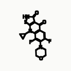 O=c1[nH]sc2c1c(=O)c1cc(F)c(N3CCOCC3)c(F)c1n2C1CC1